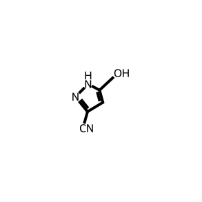 N#Cc1cc(O)[nH]n1